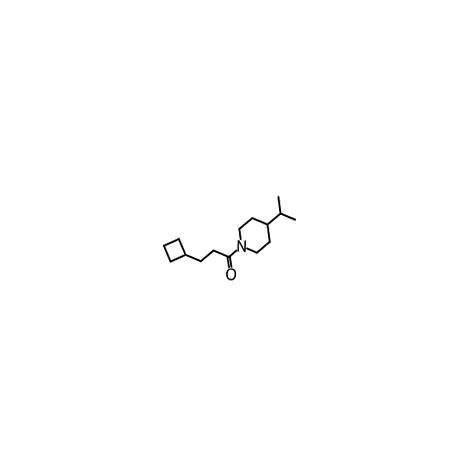 CC(C)C1CCN(C(=O)CCC2CCC2)CC1